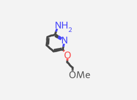 COCCOc1cccc(N)n1